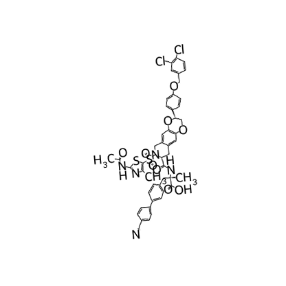 CC(=O)Nc1nc(C)c(S(=O)(=O)N2Cc3cc4c(cc3CC2C(=O)N[C@@](C)(Cc2ccc(-c3ccc(C#N)cc3)cc2)C(=O)O)OC[C@H](c2ccc(OCc3ccc(Cl)c(Cl)c3)cc2)O4)s1